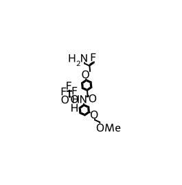 COCCOc1cccc(NC(=O)c2ccc(OCC(=CF)CN)cc2)c1.O=C(O)C(F)(F)F